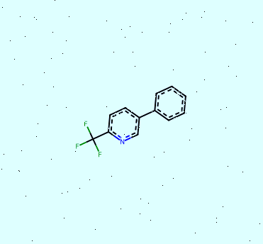 FC(F)(F)c1ccc(-c2c[c]ccc2)cn1